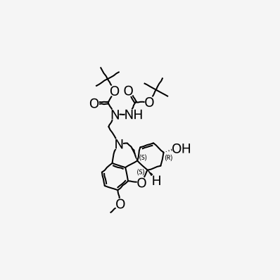 COc1ccc2c3c1O[C@H]1C[C@@H](O)C=C[C@@]31CCN(CN(NC(=O)OC(C)(C)C)C(=O)OC(C)(C)C)C2